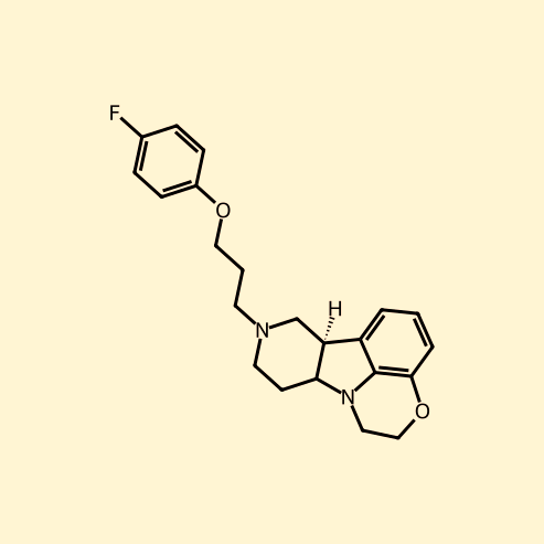 Fc1ccc(OCCCN2CCC3[C@@H](C2)c2cccc4c2N3CCO4)cc1